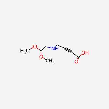 COC(CNCC#CC(=O)O)OC